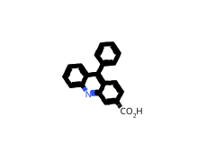 O=C(O)c1ccc2c(-c3ccccc3)c3ccccc3nc2c1